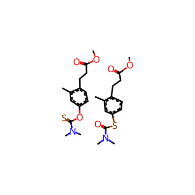 COC(=O)CCc1ccc(OC(=S)N(C)C)cc1C.COC(=O)CCc1ccc(SC(=O)N(C)C)cc1C